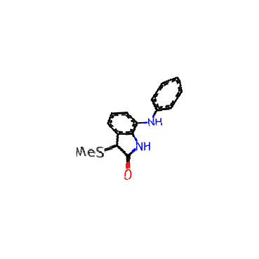 CSC1C(=O)Nc2c(Nc3ccccc3)cccc21